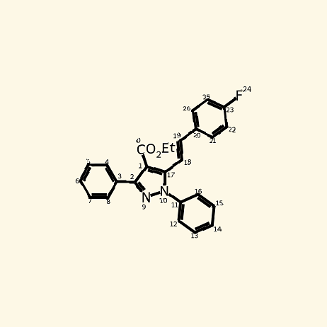 CCOC(=O)c1c(-c2ccccc2)nn(-c2ccccc2)c1/C=C/c1ccc(F)cc1